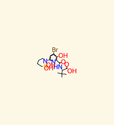 CC(C)(C)C(NC(=O)c1nc(N2CCCCS2(O)O)cc(Br)c1O)C(=O)O